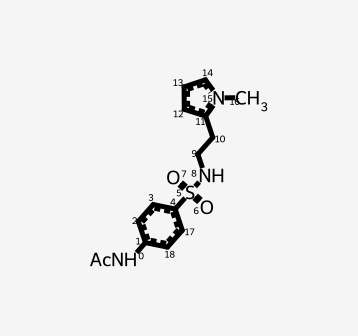 CC(=O)Nc1ccc(S(=O)(=O)NCCc2cccn2C)cc1